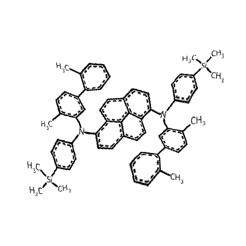 Cc1ccccc1-c1ccc(C)c(N(c2ccc([Si](C)(C)C)cc2)c2ccc3ccc4c(N(c5ccc([Si](C)(C)C)cc5)c5cc(-c6ccccc6C)ccc5C)ccc5ccc2c3c54)c1